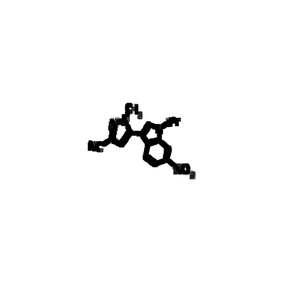 CC(C)n1cc(-c2cc(C#N)nn2C)c2ccc([N+](=O)[O-])cc21